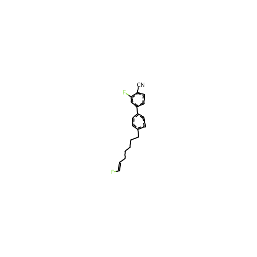 N#Cc1ccc(-c2ccc(CCCCC/C=C/F)cc2)cc1F